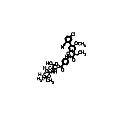 CCC(C(=O)Nc1ccc(C(=O)OC[C@](C)(NC(=O)OC(C)(C)C)C(=O)O)cc1)n1cc(OC)c(-c2cc(Cl)ccc2C#N)cc1=O